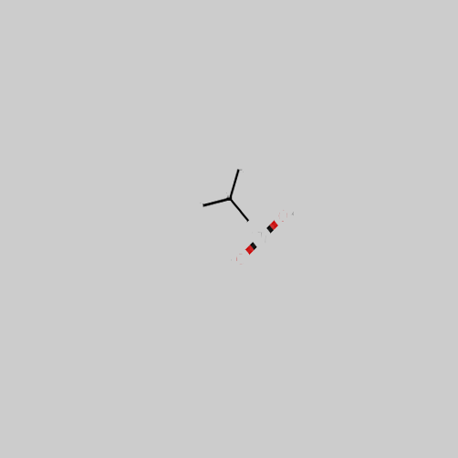 [CH2]C(C)C.[O]=[Ti]=[O]